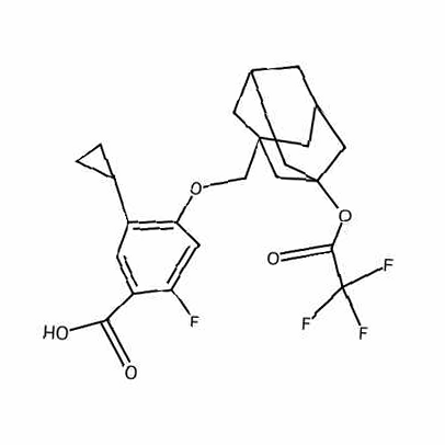 O=C(O)c1cc(C2CC2)c(OCC23CC4CC(C2)CC(OC(=O)C(F)(F)F)(C4)C3)cc1F